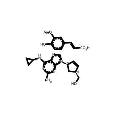 COc1cc(C=CC(=O)O)ccc1O.Nc1nc(NC2CC2)c2ncn([C@H]3C=C[C@@H](CO)C3)c2n1